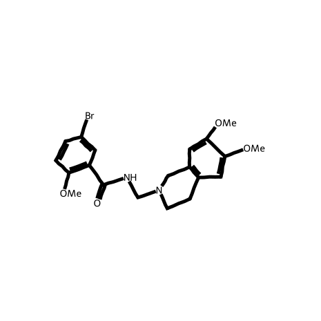 COc1cc2c(cc1OC)CN(CNC(=O)c1cc(Br)ccc1OC)CC2